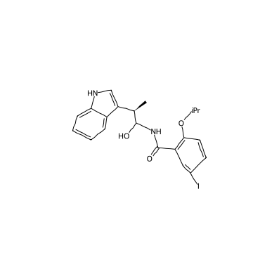 CC(C)Oc1ccc(I)cc1C(=O)NC(O)[C@H](C)c1c[nH]c2ccccc12